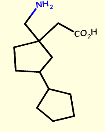 NCC1(CC(=O)O)CCC(C2CCCC2)C1